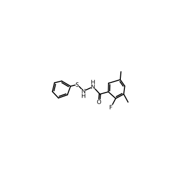 Cc1cc(C)c(F)c(C(=O)NNSc2ccccc2)c1